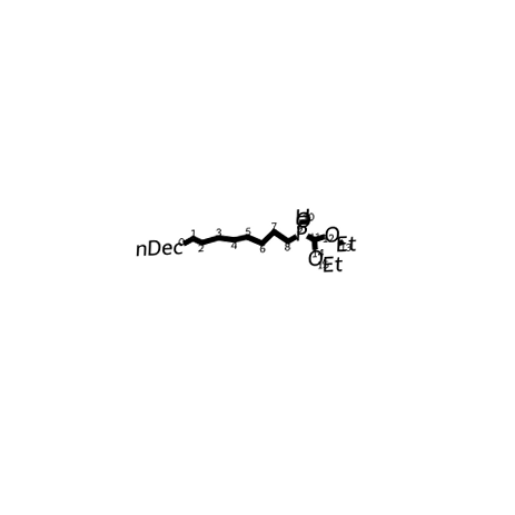 CCCCCCCCCCCCCCCCCC[PH](=O)C(OCC)OCC